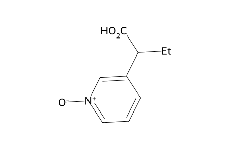 CCC(C(=O)O)c1ccc[n+]([O-])c1